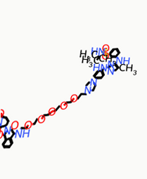 Cc1cnc(Nc2ccc(N3CCN(CCCOCCOCCOCCOCCOCCNC4C(=O)N(C5CCC(=O)NC5=O)C(=O)c5ccccc54)CC3)cc2)nc1Nc1cccc(S(=O)(=O)NC(C)(C)C)c1